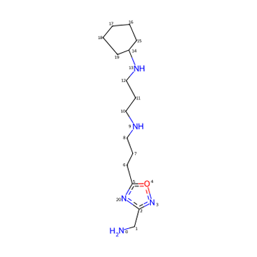 NCc1noc(CCCNCCCNC2CCCCC2)n1